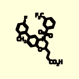 Cc1ccc(F)cc1-c1ccc2c(c1)N(S(=O)(=O)c1cccc(C(F)(F)F)c1)CC(CCC(=O)O)O2